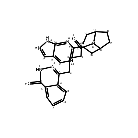 O=C(CCCc1n[nH]c(=O)c2ccccc12)N1C2CCC1CN(c1ncc3cn[nH]c3n1)C2